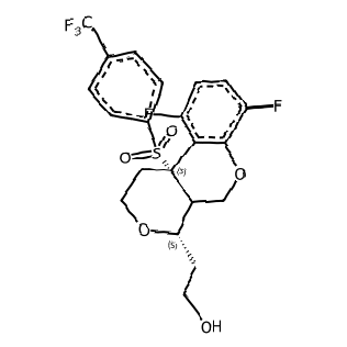 O=S(=O)(c1ccc(C(F)(F)F)cc1)[C@@]12CCO[C@@H](CCO)C1COc1c(F)ccc(F)c12